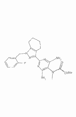 COC(=O)N(C)c1c(N)nc(-c2nn(Cc3ccccc3F)c3c2CCCC3)nc1N